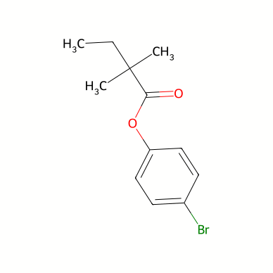 CCC(C)(C)C(=O)Oc1ccc(Br)cc1